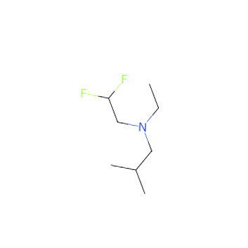 CCN(CC(C)C)CC(F)F